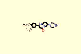 COc1ccc(-c2cc(=O)n3cc(N4CCNCC4)ccc3n2)cc1[N+](=O)[O-]